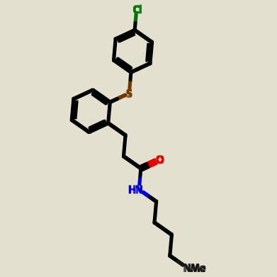 CNCCCCNC(=O)CCc1ccccc1Sc1ccc(Cl)cc1